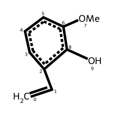 C=Cc1cccc(OC)c1O